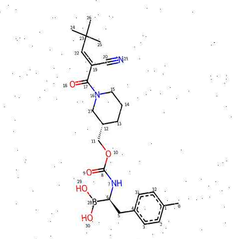 Cc1ccc(C[C@H](NC(=O)OC[C@H]2CCCN(C(=O)/C(C#N)=C/C(C)(C)C)C2)B(O)O)cc1